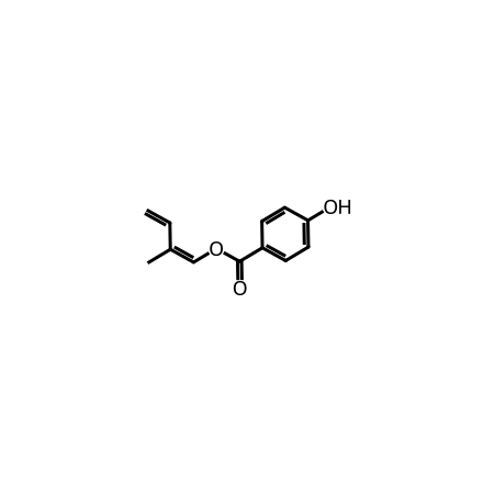 C=CC(C)=COC(=O)c1ccc(O)cc1